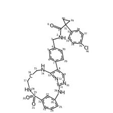 O=C(NCc1ccc(-c2cnc3nc2NCCCNS(=O)(=O)c2cccc(c2)N3)cc1)C1(c2ccc(Cl)cc2)CC1